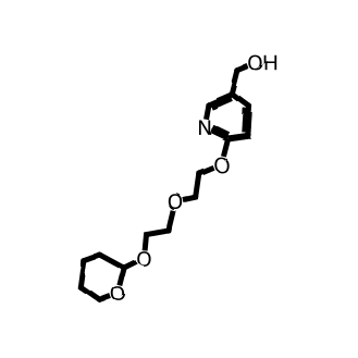 OCc1ccc(OCCOCCOC2CCCCO2)nc1